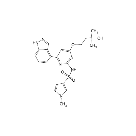 Cn1cc(S(=O)(=O)Nc2nc(OCCC(C)(C)O)cc(-c3cccc4[nH]ncc34)n2)cn1